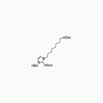 CCCCCCCCCCCCCCCCCCN1C=CN(CCCC)C1CCCCCCCCC